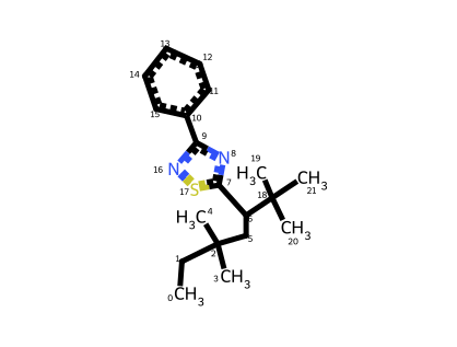 CCC(C)(C)CC(c1nc(-c2ccccc2)ns1)C(C)(C)C